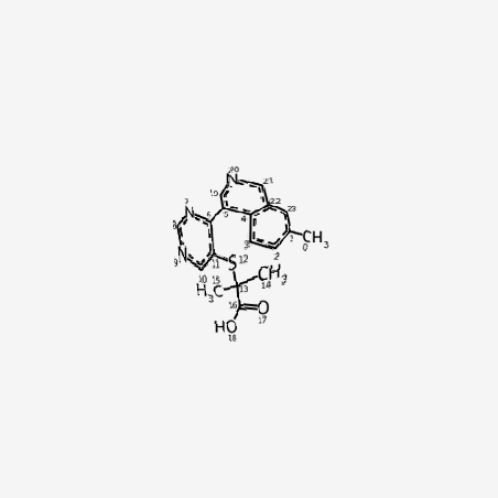 Cc1ccc2c(-c3ncncc3SC(C)(C)C(=O)O)cncc2c1